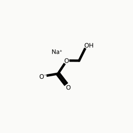 O=C([O-])OCO.[Na+]